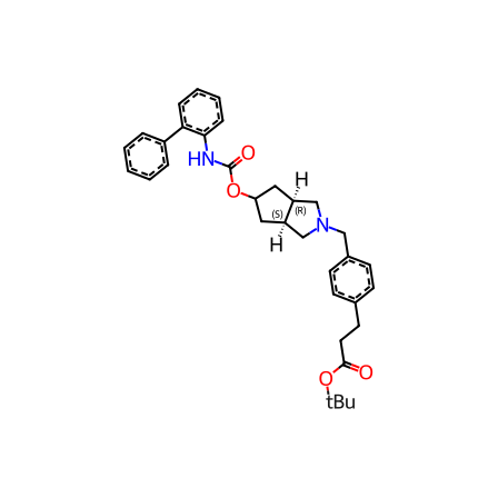 CC(C)(C)OC(=O)CCc1ccc(CN2C[C@H]3CC(OC(=O)Nc4ccccc4-c4ccccc4)C[C@H]3C2)cc1